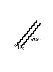 CCCCCCCCCCCCCCCCCC(=O)[O-].CCCCCCCCCCCCCCCCCC(=O)[O-].[Ca+2].[S]=[Mo]=[S]